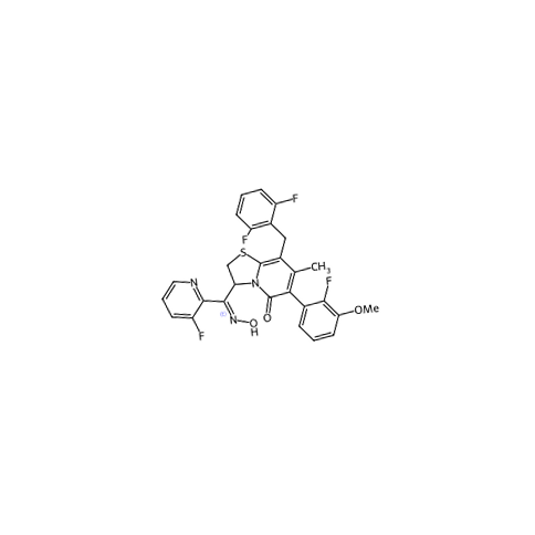 COc1cccc(-c2c(C)c(Cc3c(F)cccc3F)c3n(c2=O)C(/C(=N\O)c2ncccc2F)CS3)c1F